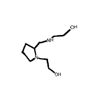 OCCNCC1CCCN1CCO